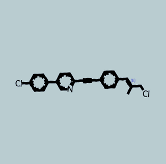 C/C(=C\c1ccc(C#Cc2ccc(-c3ccc(Cl)cc3)cn2)cc1)CCl